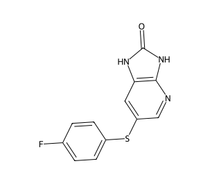 O=c1[nH]c2cc(Sc3ccc(F)cc3)cnc2[nH]1